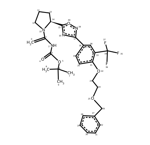 C=C(NC(=O)OC(C)(C)C)N1CCC[C@H]1c1nc(-c2ccc(OCCOCc3ccccc3)c(C(F)(F)F)c2)no1